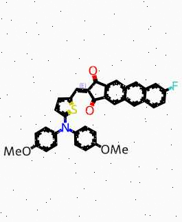 COc1ccc(N(c2ccc(OC)cc2)c2ccc(/C=C3\C(=O)c4cc5cc6ccc(F)cc6cc5cc4C3=O)s2)cc1